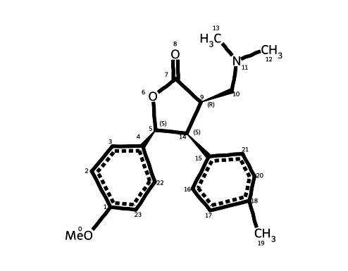 COc1ccc([C@H]2OC(=O)[C@@H](CN(C)C)[C@H]2c2ccc(C)cc2)cc1